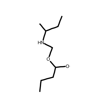 CCCC([O])OCNC(C)CC